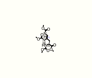 COC(=O)N/C=C(/C[C@H](NC(=O)OC)C(=O)OC)NC(=O)OC